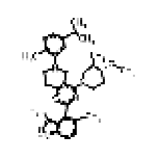 CO[C@@H]1CCN(c2nc(-c3c(C)ccc4[nH]nc(C)c34)nc3c2CN(c2cc(C(C)C)ccc2C)CC3)C[C@H]1C